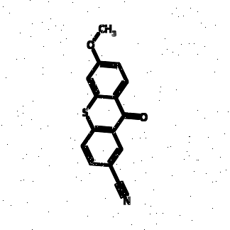 COc1ccc2c(=O)c3cc(C#N)ccc3sc2c1